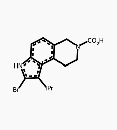 CC(C)c1c(Br)[nH]c2ccc3c(c12)CCN(C(=O)O)C3